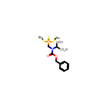 CCCCCCCCC(C(=O)O)N(CP(=S)(SC(C)CC)SC(C)CC)C(=O)OCc1ccccc1